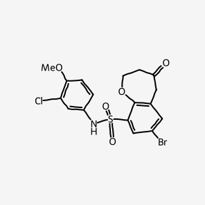 COc1ccc(NS(=O)(=O)c2cc(Br)cc3c2OCCC(=O)C3)cc1Cl